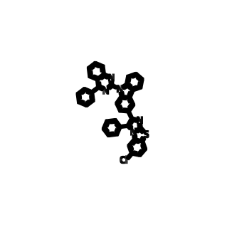 Clc1ccc2sc3nc(-c4ccc5c(c4)c4ccccc4n5-c4nc(-c5ccccc5)c5ccccc5n4)c(-c4ccccc4)n3c2c1